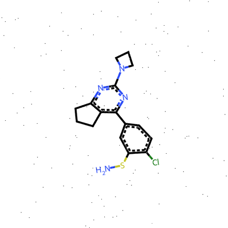 NSc1cc(-c2nc(N3CCC3)nc3c2CCC3)ccc1Cl